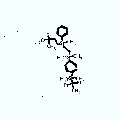 CCC(C)(C)CC[Si](C)(CC[Si](C)(C)c1ccc([Si](C)(C)C(C)(CC)CC)cc1)c1ccccc1